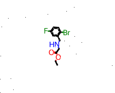 CCOC(=O)CNCc1cc(F)ccc1Br